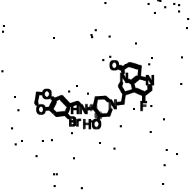 O=c1ccc2ncc(F)c3c2n1CC3CN1CC[C@H](NCc2cc3c(cc2Br)OCCO3)[C@H](O)C1